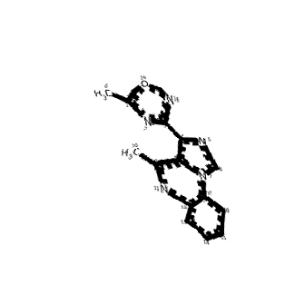 Cc1nc(-c2ncn3c2c(C)nc2ccccc23)no1